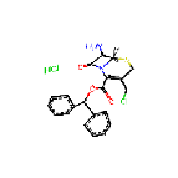 Cl.NC1C(=O)N2C(C(=O)OC(c3ccccc3)c3ccccc3)=C(CCl)CS[C@@H]12